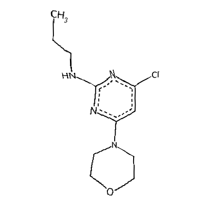 CCCNc1nc(Cl)cc(N2CCOCC2)n1